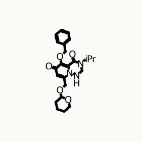 CC(C)N1CNn2c(COC3CCCCO3)cc(=O)c(OCc3ccccc3)c2C1=O